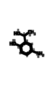 CC(O)c1cc(N)ccc1O